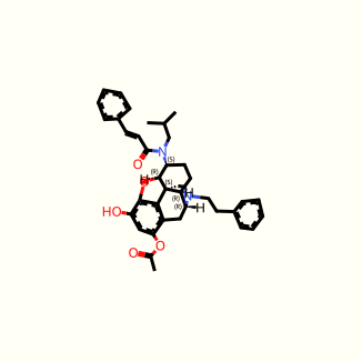 CC(=O)Oc1cc(O)c2c3c1C[C@@H]1[C@@H]4CC[C@H](N(CC(C)C)C(=O)C=Cc5ccccc5)[C@H](O2)[C@]34CCN1CCc1ccccc1